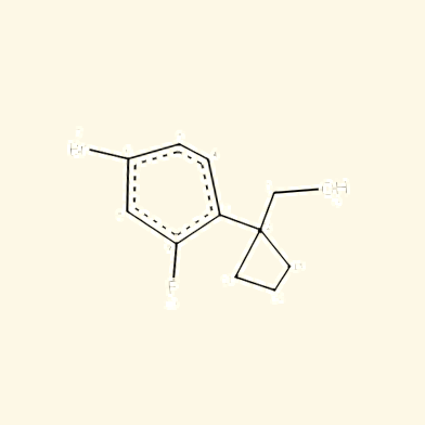 OCC1(c2ccc(Br)cc2F)CCC1